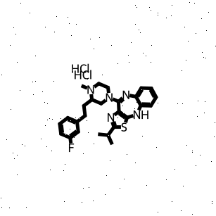 CC(C)c1nc2c(s1)Nc1ccccc1N=C2N1CCN(C)C(CCc2cccc(F)c2)C1.Cl.Cl